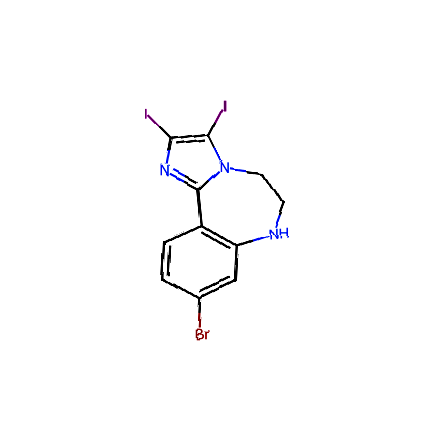 Brc1ccc2c(c1)NCCn1c-2nc(I)c1I